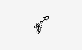 Cc1ccccc1C1CC(n2nc3n(c2=O)C(c2cnccn2)CC3)C1